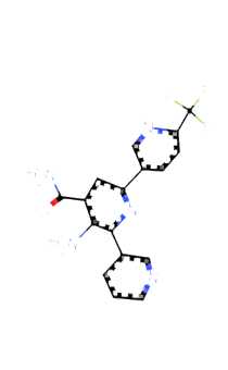 NC(=O)c1cc(-c2ccc(C(F)(F)F)nc2)nc(-c2cccnc2)c1N